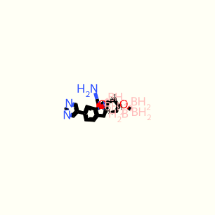 BC(B)(B)O[C@H]1CC[C@@]2(Cc3ccc(-c4cncnc4)cc3[C@]23N=C(N)OC3(B)B)C[C@@H]1C